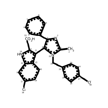 Cc1nc(-c2ccccc2)c(-c2c(C(=O)O)[nH]c3cc(Cl)ccc23)n1Cc1ccc(Cl)cc1